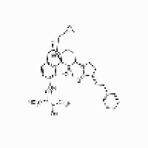 O=C(O)C(O)C(O)C(=O)O.O=C1C(=CCc2ccccc2)CCN1[C@@H]1CCC2(O)[C@H]3Cc4ccc(O)c5c4[C@@]2(CCN3CC2CC2)[C@H]1O5